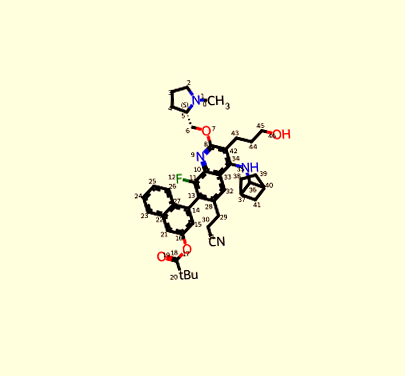 CN1CCC[C@H]1COc1nc2c(F)c(-c3cc(OC(=O)C(C)(C)C)cc4ccccc34)c(CCC#N)cc2c(NC2C3CCC2C3)c1CCCO